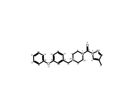 Cc1cnn(C(=O)N2CCN(Cc3cccc(Oc4ccccc4)c3)CC2)c1